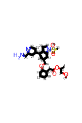 COCC(C)OC(=O)Cc1ccccc1OCc1cc(-c2ccnc(CN)c2)c2ccn(S(C)(=O)=O)c2c1